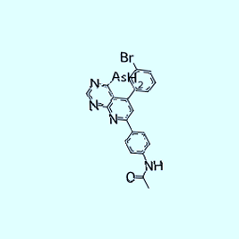 CC(=O)Nc1ccc(-c2cc(-c3cccc(Br)c3)c3c([AsH2])ncnc3n2)cc1